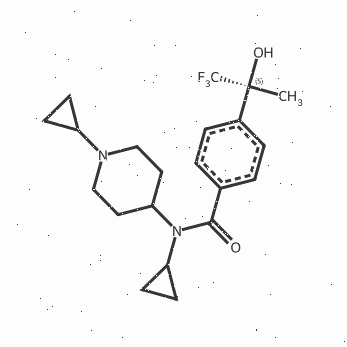 C[C@](O)(c1ccc(C(=O)N(C2CC2)C2CCN(C3CC3)CC2)cc1)C(F)(F)F